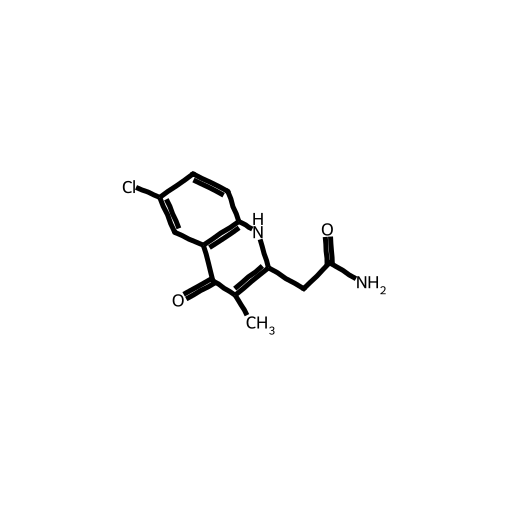 Cc1c(CC(N)=O)[nH]c2ccc(Cl)cc2c1=O